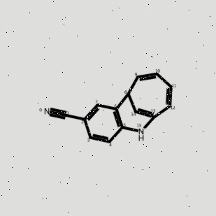 N#Cc1ccc2c(c1)C1C=CC=CC(=C1)N2